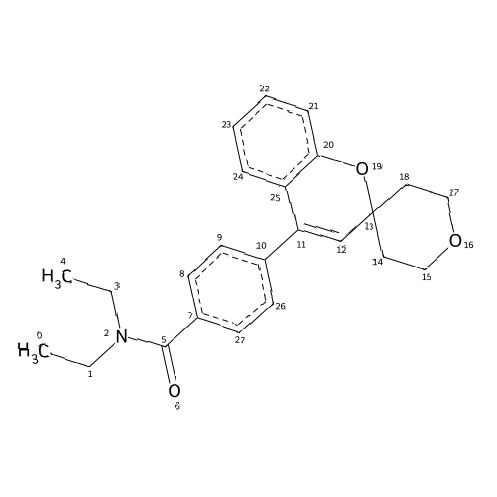 CCN(CC)C(=O)c1ccc(C2=CC3(CCOCC3)Oc3ccccc32)cc1